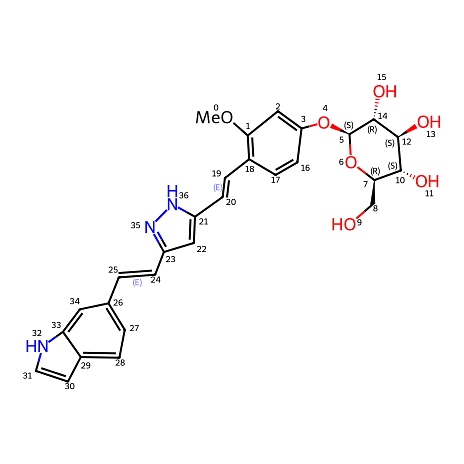 COc1cc(O[C@@H]2O[C@H](CO)[C@@H](O)[C@H](O)[C@H]2O)ccc1/C=C/c1cc(/C=C/c2ccc3cc[nH]c3c2)n[nH]1